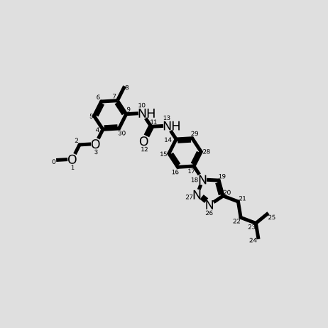 COCOc1ccc(C)c(NC(=O)Nc2ccc(-n3cc(CCC(C)C)nn3)cc2)c1